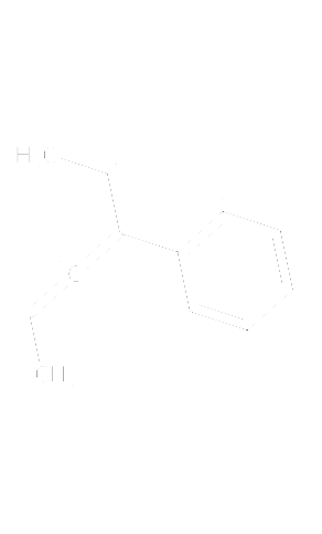 CC=C=C(CC)c1ccccc1